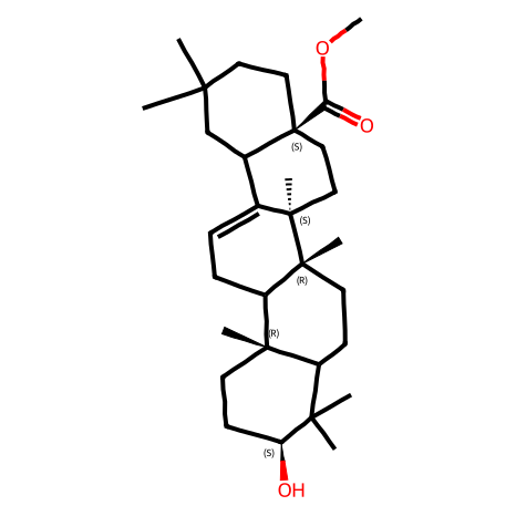 COC(=O)[C@]12CCC(C)(C)CC1C1=CCC3[C@@]4(C)CC[C@H](O)C(C)(C)C4CC[C@@]3(C)[C@]1(C)CC2